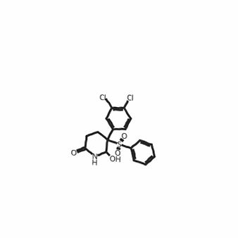 O=C1CCC(c2ccc(Cl)c(Cl)c2)(S(=O)(=O)c2ccccc2)C(O)N1